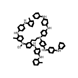 CCN(c1ccc(Nc2ccc(Nc3ccccc3C)cc2)c(C)c1)c1ccc(Nc2ccc(Nc3ccccc3C)cc2)c(CCCN(c2ccc(Nc3ccc(Nc4ccccc4)cc3)cc2)c2ccc(Nc3ccc(Nc4ccccc4)cc3)cc2)c1